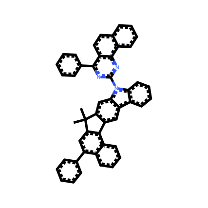 CC1(C)c2cc3c(cc2-c2c1cc(-c1ccccc1)c1ccccc21)c1ccccc1n3-c1nc(-c2ccccc2)c2ccc3ccccc3c2n1